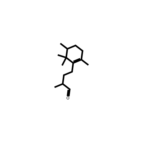 CC1=C(CCC(C)C=O)C(C)(C)C(C)CC1